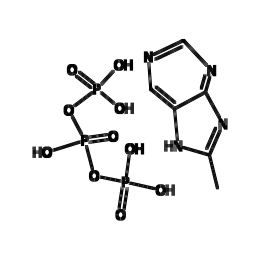 Cc1nc2ncncc2[nH]1.O=P(O)(O)OP(=O)(O)OP(=O)(O)O